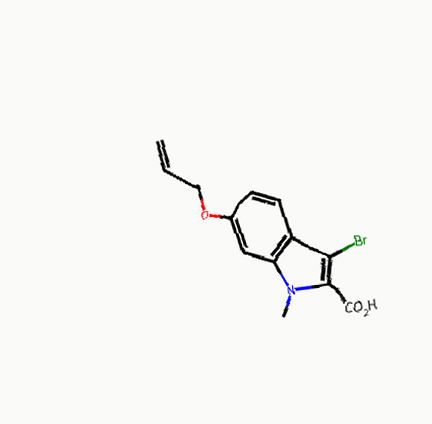 C=CCOc1ccc2c(Br)c(C(=O)O)n(C)c2c1